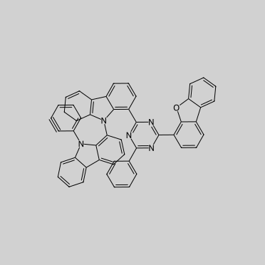 c1cccc(-n2c3ccccc3c3cccc(-n4c5c(c6cccc(-c7nc(-c8ccccc8)nc(-c8cccc9c8oc8ccccc89)n7)c64)C=CCC5)c32)c#1